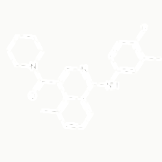 Cc1cc(Nc2ncc(C(=O)N3CCCCC3)c3c(C)cccc23)ccc1F